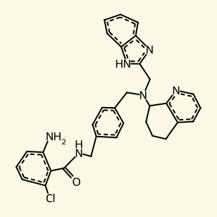 Nc1cccc(Cl)c1C(=O)NCc1ccc(CN(Cc2nc3ccccc3[nH]2)C2CCCc3cccnc32)cc1